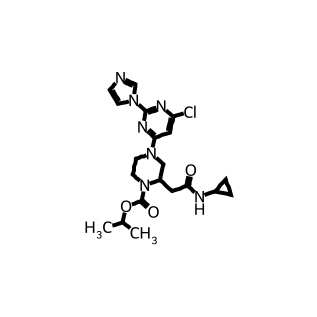 CC(C)OC(=O)N1CCN(c2cc(Cl)nc(-n3ccnc3)n2)CC1CC(=O)NC1CC1